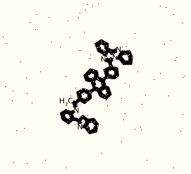 C/C(=N\c1ccccc1C1=Nc2ccccc2C1)c1ccc(-c2c3ccccc3c(-c3cccc(-c4nc5ccccc5c5nc6ccccc6n45)c3)c3ccccc23)cc1